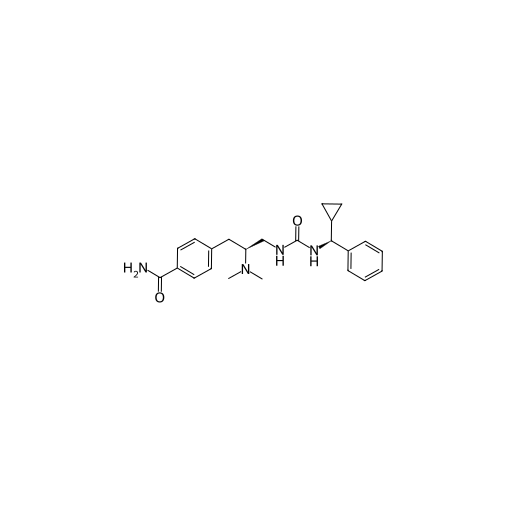 CN(C)[C@H](CNC(=O)N[C@H](c1ccccc1)C1CC1)Cc1ccc(C(N)=O)cc1